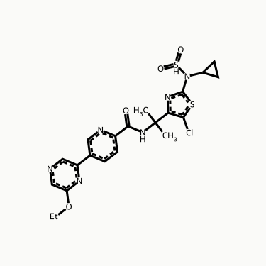 CCOc1cncc(-c2ccc(C(=O)NC(C)(C)c3nc(N(C4CC4)[SH](=O)=O)sc3Cl)nc2)n1